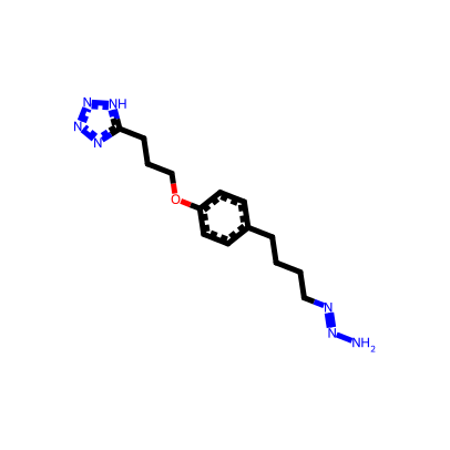 NN=NCCCCc1ccc(OCCCc2nnn[nH]2)cc1